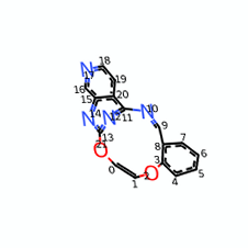 C1=COc2ccccc2C=Nc2nc(nc3cnccc23)O1